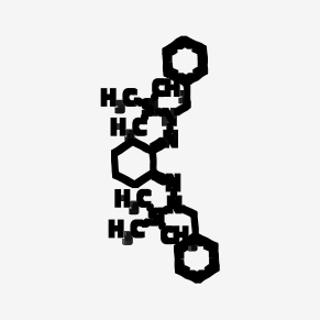 C[Si](C)(C)N(Cc1ccccc1)N=C1CCCCC1=NN(Cc1ccccc1)[Si](C)(C)C